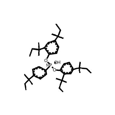 CCC(C)(C)c1ccc([PH](O)(Oc2ccc(C(C)(C)CC)cc2C(C)(C)CC)Oc2ccc(C(C)(C)CC)cc2C(C)(C)CC)cc1